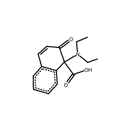 CCN(CC)C1(C(=O)O)C(=O)C=Cc2ccccc21